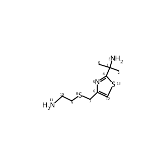 CC(C)(N)c1nc(CSCCN)cs1